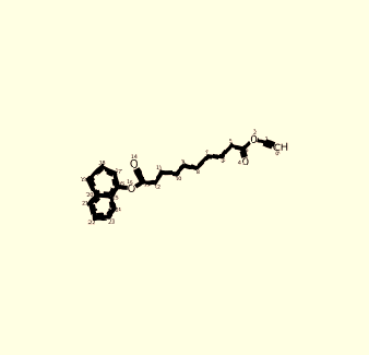 C#COC(=O)CCCCCCCCC(=O)Oc1cccc2ccccc12